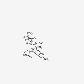 CC1(C)S[C@@H]2[C@H](NC(=O)C(N)(NC(=O)N3CCNC3=O)c3ccc4nc(N)sc4c3)C(=O)N2[C@H]1C(=O)[O-].[Na+]